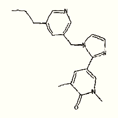 CCCc1cncc(Cn2ccnc2-c2cc(C)c(=O)n(C)c2)c1